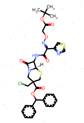 CC(C)(C)OC(=O)CON=C(C(=O)NC1C(=O)N2CC(CCl)(C(=O)OC(c3ccccc3)c3ccccc3)CS[C@H]12)c1cscn1